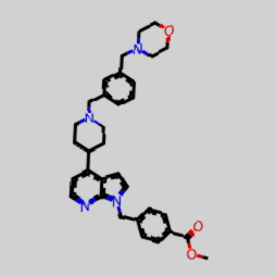 COC(=O)c1ccc(Cn2ccc3c(C4CCN(Cc5cccc(CN6CCOCC6)c5)CC4)ccnc32)cc1